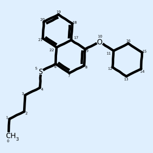 CCCCCSc1ccc(OC2CCCCC2)c2ccccc12